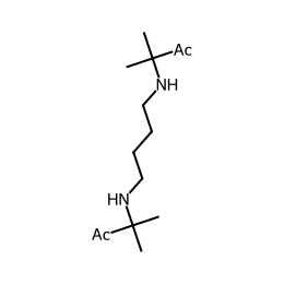 CC(=O)C(C)(C)NCCCCNC(C)(C)C(C)=O